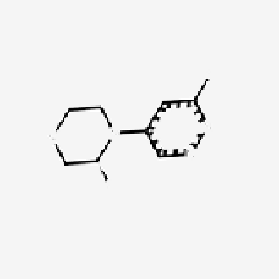 C[C@H]1CNCCN1c1cnnc(Cl)c1